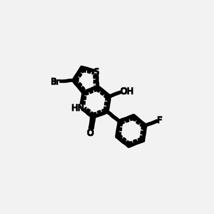 O=c1[nH]c2c(Br)csc2c(O)c1-c1cccc(F)c1